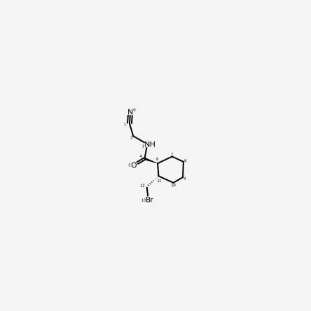 N#CCNC(=O)[C@H]1CCCC[C@@H]1CBr